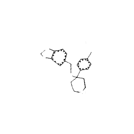 Cl.Fc1ccc(C2(OCc3ccc4c(c3)OCO4)CCNCC2)cc1